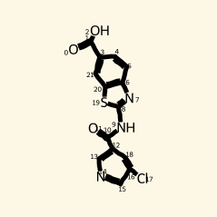 O=C(O)c1ccc2nc(NC(=O)c3cncc(Cl)c3)sc2c1